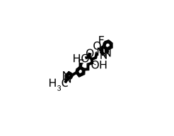 Cn1cc(-c2ccc(CC[C@@H](O)C(CCn3nnc4cccc(F)c4c3=O)C(=O)O)c(F)c2)cn1